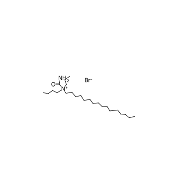 CCCCCCCCCCCCCCCC[N+](CCC)(CCCC)C(N)=O.[Br-]